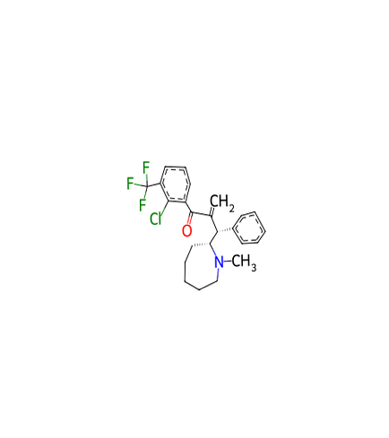 C=C(C(=O)c1cccc(C(F)(F)F)c1Cl)[C@H](c1ccccc1)[C@H]1CCCCCN1C